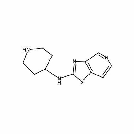 c1cc2sc(NC3CCNCC3)nc2cn1